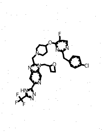 Fc1cnc(Cc2ccc(Cl)cc2)nc1OC1CCN(Cc2nc3cc(-c4nnc(C(F)(F)F)[nH]4)ncc3n2CC2CCO2)CC1